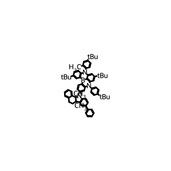 Cc1cc(C(C)(C)C)ccc1N1c2ccc(C(C)(C)C)cc2B2c3ccc(N4c5ccc(-c6ccccc6)cc5C5(C)CCc6ccccc6C45C)cc3N(c3ccc(C(C)(C)C)cc3)c3cc(C(C)(C)C)cc1c32